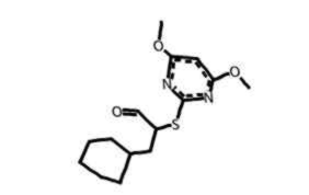 COc1cc(OC)nc(SC(C=O)CC2CCCCC2)n1